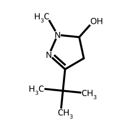 CN1N=C(C(C)(C)C)CC1O